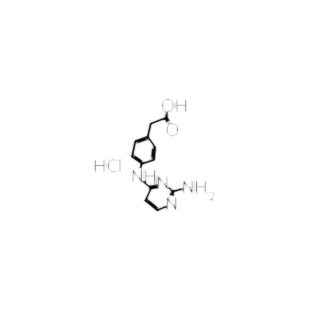 Cl.Nc1nccc(Nc2ccc(CC(=O)O)cc2)n1